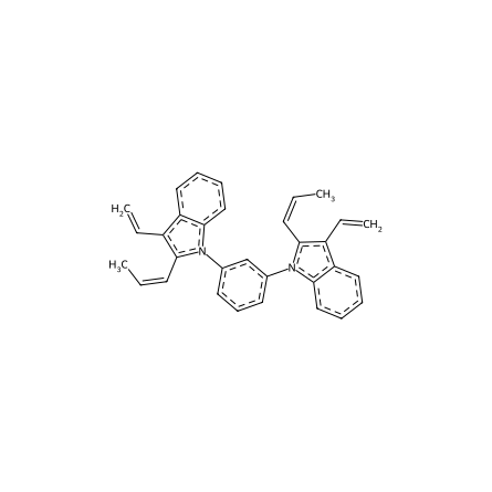 C=Cc1c(/C=C\C)n(-c2cccc(-n3c(/C=C\C)c(C=C)c4ccccc43)c2)c2ccccc12